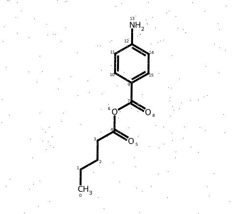 CCCCC(=O)OC(=O)c1ccc(N)cc1